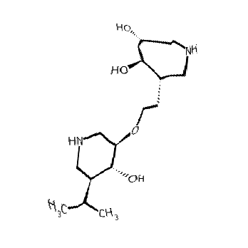 CC(C)[C@H]1CNC[C@@H](OCC[C@H]2CNC[C@@H](O)[C@@H]2O)[C@@H]1O